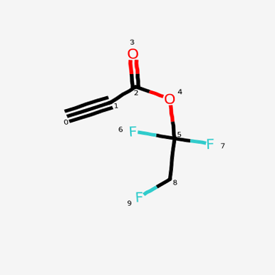 C#CC(=O)OC(F)(F)CF